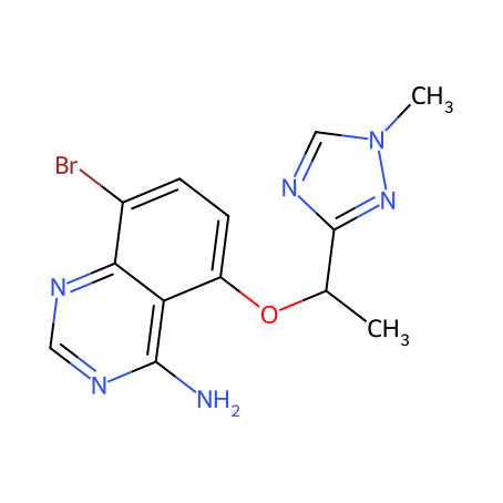 CC(Oc1ccc(Br)c2ncnc(N)c12)c1ncn(C)n1